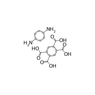 Nc1ccc(N)cc1.O=C(O)c1cc(C(=O)O)c(C(=O)O)cc1C(=O)O